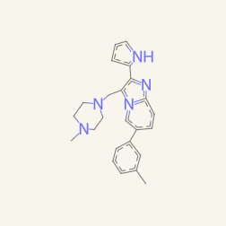 Cc1cccc(-c2ccc3nc(-c4ccc[nH]4)c(CN4CCN(C)CC4)n3c2)c1